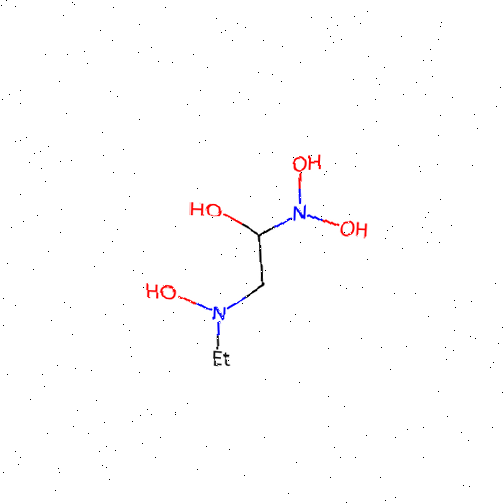 CCN(O)CC(O)N(O)O